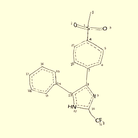 CS(=O)(=O)c1ccc(-c2nc(C(F)(F)F)[nH]c2-c2ccccc2)cc1